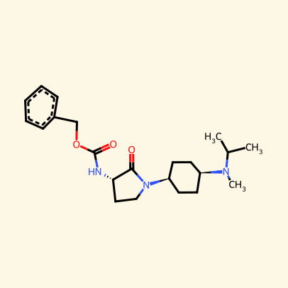 CC(C)N(C)[C@H]1CC[C@@H](N2CC[C@H](NC(=O)OCc3ccccc3)C2=O)CC1